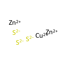 [Cu+2].[S-2].[S-2].[S-2].[Zn+2].[Zn+2]